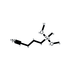 CO[Si](C)(CCCC#N)OC